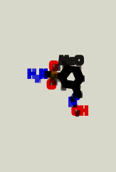 COc1ccc(C=NO)cc1S(N)(=O)=O